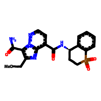 COCc1nc2c(C(=O)N[C@H]3CCS(=O)(=O)c4ccccc43)ccnn2c1C(N)=O